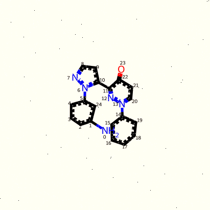 Nc1cccc(-n2nccc2-c2nn(-c3ccccc3)ccc2=O)c1